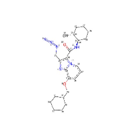 [N-]=[N+]=NCc1nc2c(OCC3CCCCC3)cccn2c1C(=O)N[C@@H]1CCCC[C@H]1N=O